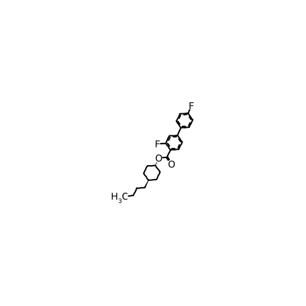 CCCC[C@H]1CC[C@H](OC(=O)c2ccc(-c3ccc(F)cc3)cc2F)CC1